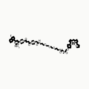 CN(CC(=O)NCCCOCCOCCOCCCNC(=O)CN1CCN(C(=O)CCC(=O)N2CCN(c3cc(-c4ccc(F)c5ccccc45)nc(N)n3)CC2)CC1)C(=O)COc1ccc(-c2ccc3n2[B-](F)(F)[N+]2=C(c4cccs4)C=CC2=C3)cc1